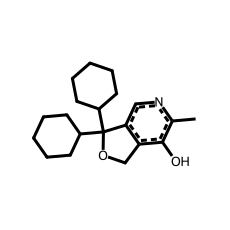 Cc1ncc2c(c1O)COC2(C1CCCCC1)C1CCCCC1